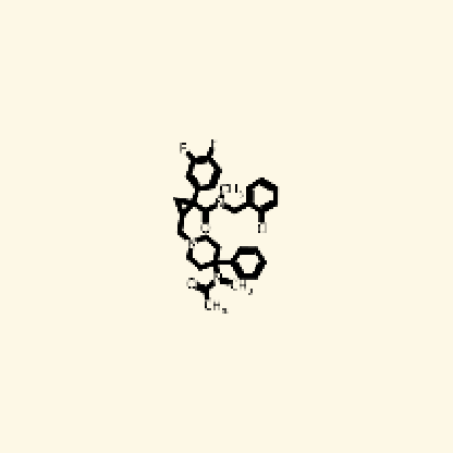 CC(=O)N(C)C1(c2ccccc2)CCN(CC2CC2(C(=O)N(C)Cc2ccccc2Cl)c2ccc(F)c(F)c2)CC1